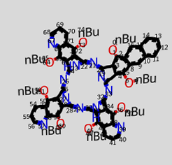 CCCCOc1c2c(c(OCCCC)c3cc4ccccc4cc13)-c1nc-2nc2[nH]c(nc3nc(nc4[nH]c(n1)c1c(OCCCC)c5ncccc5c(OCCCC)c41)-c1c-3c(OCCCC)c3cccnc3c1OCCCC)c1c(OCCCC)c3ncccc3c(OCCCC)c21